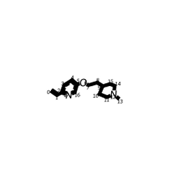 C=Cc1ccc(OCCC2CCN(C)CC2)cn1